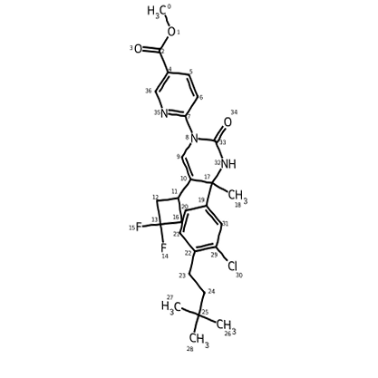 COC(=O)c1ccc(N2C=C(C3CC(F)(F)C3)C(C)(c3ccc(CCC(C)(C)C)c(Cl)c3)NC2=O)nc1